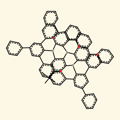 CC(C)(C)c1cc2c3c(c1)N(c1c(-c4ccccc4)cc(-c4ccccc4)cc1-c1ccccc1)c1cc(-c4ccccc4)cc(-c4ccccc4)c1B3c1c(-c3ccccc3)cc(-c3ccccc3)cc1N2c1c(-c2ccccc2)cc(-c2ccccc2)cc1-c1ccccc1